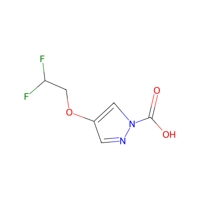 O=C(O)n1cc(OCC(F)F)cn1